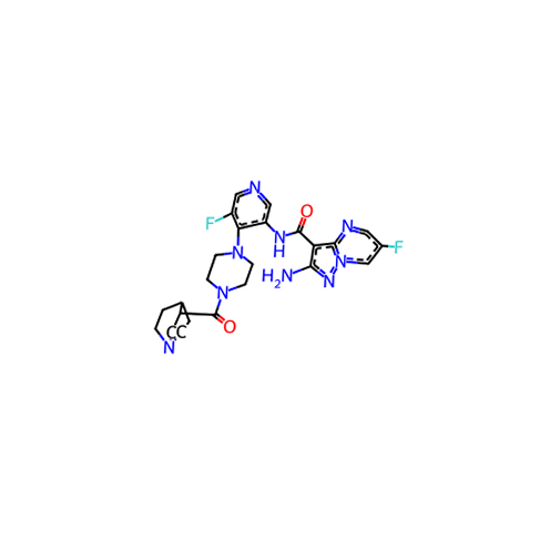 Nc1nn2cc(F)cnc2c1C(=O)Nc1cncc(F)c1N1CCN(C(=O)C2CN3CCC2CC3)CC1